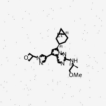 CC[C@]12CC[C@@H](c3cc(-c4cnn(C5COC5)c4)c4cnc(N[C@@H](C)COC)nn34)CC1C2